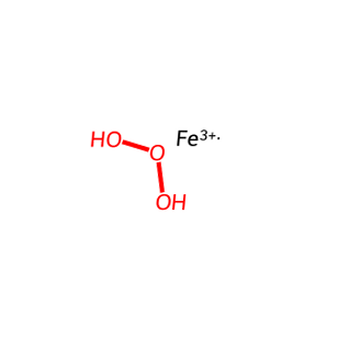 OOO.[Fe+3]